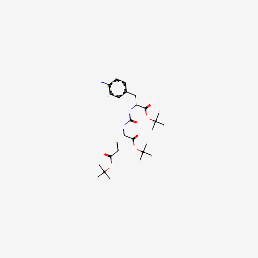 CC(C)(C)OC(=O)CC[C@H](NC(=O)N[C@@H](Cc1ccc(N)cc1)C(=O)OC(C)(C)C)C(=O)OC(C)(C)C